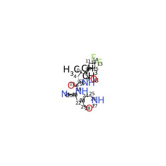 CC(C)(C)C[C@H](NC(=O)CC1CC(F)(F)C1)C(=O)N[C@H](C#N)C[C@@H]1CCNCOC1